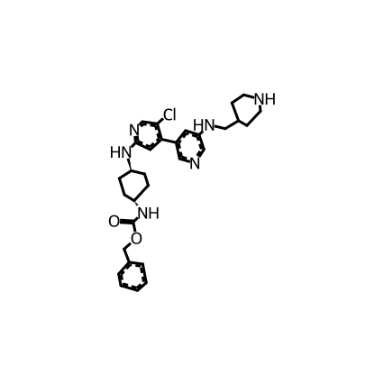 O=C(N[C@H]1CC[C@H](Nc2cc(-c3cncc(NCC4CCNCC4)c3)c(Cl)cn2)CC1)OCc1ccccc1